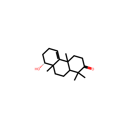 CC1(C)C(=O)CCC2(C)C3=CCC[C@@H](O)C3(C)CCC12